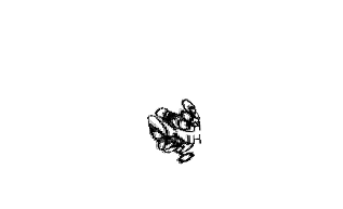 COC(=O)CC(CP(=O)(O)CC[C@H](NC(=O)OCc1ccccc1)C(=O)OC)C(=O)OC